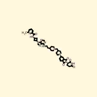 Cc1cccc(C(=O)NC2CC(n3cnc4c(NCCC5CCN(CC6CCN(c7ccc8c(c7)C(=O)N([C@H]7CCC(=O)NC7=O)C8=O)CC6)CC5)ncnc43)C2)n1